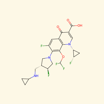 O=C(O)c1cn([C@@H]2C[C@@H]2F)c2c(OC(F)F)c(N3C[C@@H](CNC4CC4)[C@H](F)C3)c(F)cc2c1=O